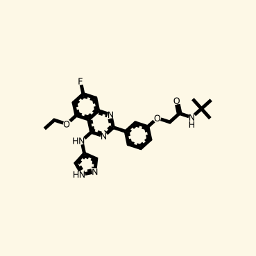 CCOc1cc(F)cc2nc(-c3cccc(OCC(=O)NC(C)(C)C)c3)nc(Nc3cn[nH]c3)c12